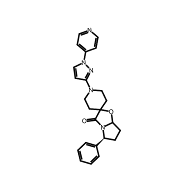 O=C1N2C(CC[C@H]2c2ccccc2)OC12CCN(c1ccn(-c3ccncc3)n1)CC2